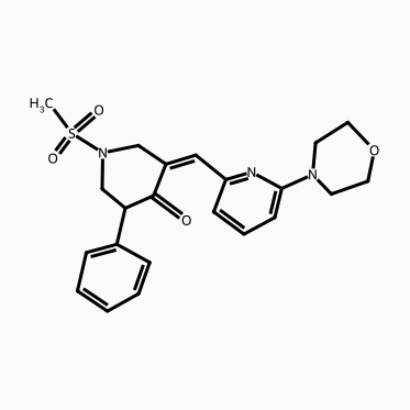 CS(=O)(=O)N1CC(=Cc2cccc(N3CCOCC3)n2)C(=O)C(c2ccccc2)C1